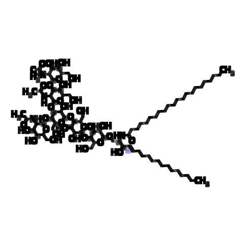 CCCCCCCCCCCCC/C=C/[C@@H](O)[C@H](CO[C@@H]1OC(CO)[C@@H](O[C@@H]2OC(CO)[C@H](O[C@@H]3OC(CO)[C@H](O[C@@H]4OC(CO)[C@H](O)[C@H](O)C4NC(C)=O)[C@H](O[C@@H]4OC(CO)[C@H](O)[C@H](O[C@H]5OC(CO)[C@H](O)[C@H](O)C5NC(C)=O)C4NC(C)=O)C3O)[C@H](O)C2O)[C@H](O)C1O)NC(=O)CCCCCCCCCCCCCCCCCCCCC